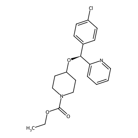 CCOC(=O)N1CCC(O[C@@H](c2ccc(Cl)cc2)c2ccccn2)CC1